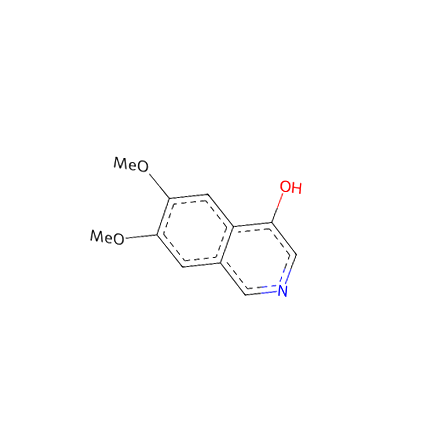 COc1cc2cncc(O)c2cc1OC